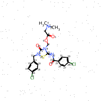 CN(C)CC(=O)OCn1c(=O)n(Cc2ccc(Cl)cc2)s/c1=N\C(=O)c1ccc(Cl)cc1